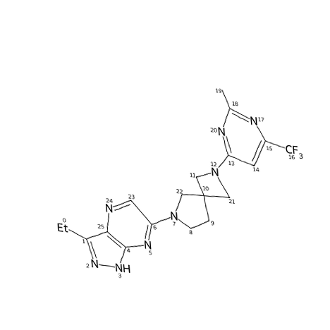 CCc1n[nH]c2nc(N3CCC4(CN(c5cc(C(F)(F)F)nc(C)n5)C4)C3)cnc12